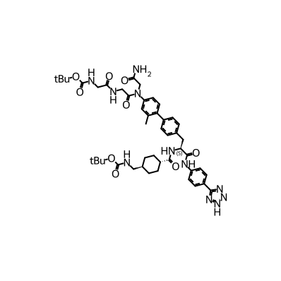 Cc1cc(N(CC(N)=O)C(=O)CNC(=O)CNC(=O)OC(C)(C)C)ccc1-c1ccc(C[C@H](NC(=O)[C@H]2CC[C@H](CNC(=O)OC(C)(C)C)CC2)C(=O)Nc2ccc(-c3nn[nH]n3)cc2)cc1